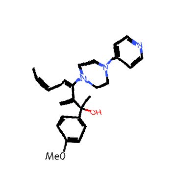 C=C(/C(=C\C=C/C)N1CCN(c2ccncc2)CC1)C(C)(O)c1ccc(OC)cc1